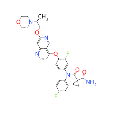 C[C@@H](COc1cc2nccc(Oc3ccc(N(C(=O)C4(C(N)=O)CC4)c4ccc(F)cc4)cc3F)c2cn1)N1CCOCC1